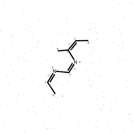 C\C=N/C=N\C(C)=C/C